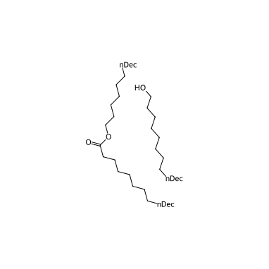 CCCCCCCCCCCCCCCCCC(=O)OCCCCCCCCCCCCCCCC.CCCCCCCCCCCCCCCCCCO